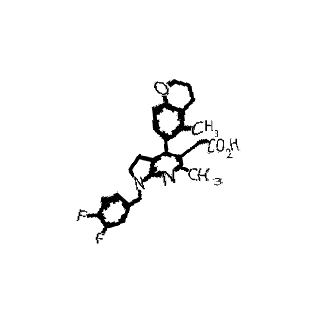 Cc1nc2c(c(-c3ccc4c(c3C)CCCO4)c1CC(=O)O)CCN2Cc1ccc(F)c(F)c1